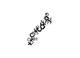 COc1ccc(Cn2ncc3cc(C=C4SC(N5CCCC(NC(=O)OC(C)(C)C)C5)=NC4=O)ccc32)c(C(F)(F)F)c1